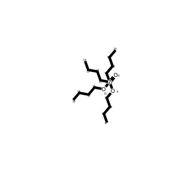 CCCC[O][Zr](=[O])([CH2]CCC)([CH2]CCC)[O]CCCC